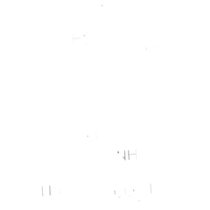 O=C(CCCCC(=O)c1ccsc1S)NC(CCS)C(=O)O